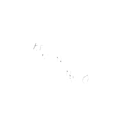 O=C(OCc1ccccc1)N1CCC(N2CCCC(COCC3CC3(F)F)C2)CC1